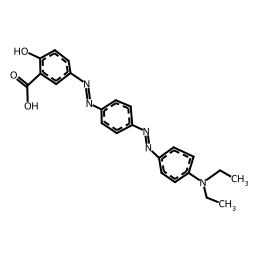 CCN(CC)c1ccc(/N=N/c2ccc(/N=N/c3ccc(O)c(C(=O)O)c3)cc2)cc1